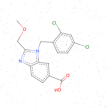 COCc1nc2ccc(C(=O)O)cc2n1Cc1ccc(Cl)cc1Cl